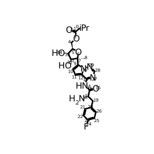 CC(C)C(=O)OC[C@H]1O[C@@](C)(c2ccc3c(NC(=O)[C@@H](N)Cc4ccc(F)cc4)ncnn23)[C@H](O)[C@@H]1O